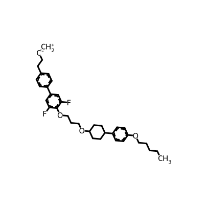 [CH2+][CH-]CCc1ccc(-c2cc(F)c(OCCCOC3CCC(c4ccc(OCCCCC)cc4)CC3)c(F)c2)cc1